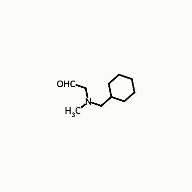 CN(CC=O)CC1CCCCC1